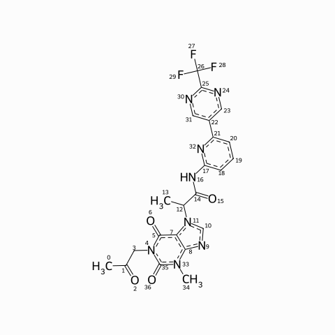 CC(=O)Cn1c(=O)c2c(ncn2C(C)C(=O)Nc2cccc(-c3cnc(C(F)(F)F)nc3)n2)n(C)c1=O